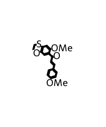 COc1ccc(/C=C/C(=O)c2cc3c(cc2OC)SCCO3)cc1